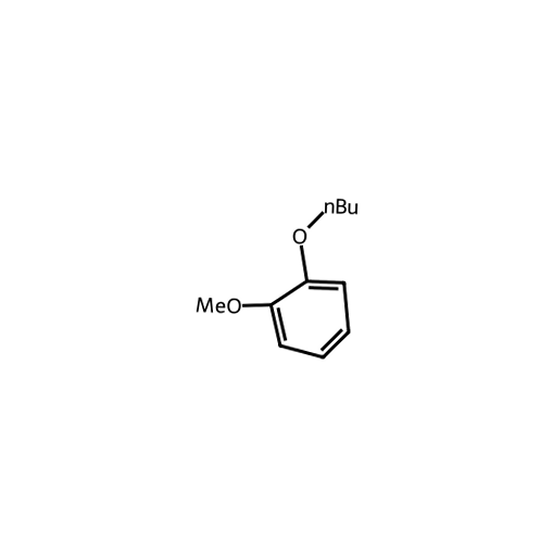 [CH2]CCCOc1ccccc1OC